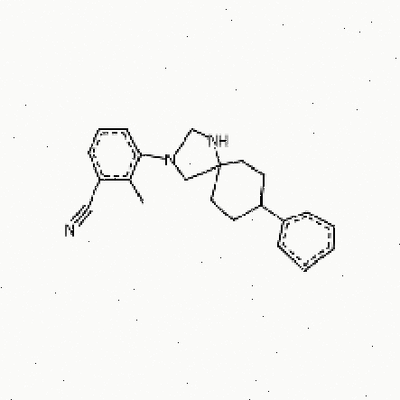 Cc1c(C#N)cccc1N1CNC2(CCC(c3ccccc3)CC2)C1